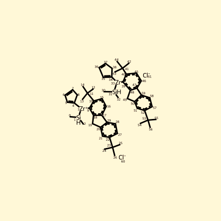 C[SiH](C)[Zr+]([C]1=CC=CC1)[c]1c(C(C)(C)C)ccc2c1Cc1cc(C(C)(C)C)ccc1-2.C[SiH](C)[Zr+]([C]1=CC=CC1)[c]1c(C(C)(C)C)ccc2c1Cc1cc(C(C)(C)C)ccc1-2.[Cl-].[Cl-]